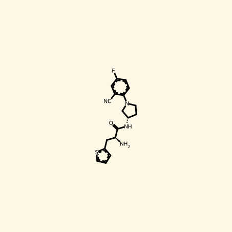 N#Cc1cc(F)ccc1N1CC[C@H](NC(=O)[C@@H](N)Cc2cccs2)C1